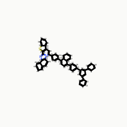 c1ccc(-c2cc(-c3ccccc3)cc(-c3ccc(-c4ccc(-c5ccc(-c6cc7c8ccccc8sc7c7nc8c9ccccc9ccc8n67)cc5)c5ccccc45)cc3)c2)cc1